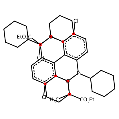 CCOC(=O)C(C)Oc1c(Cl)ccc(P(C2CCCCC2)C2CCCCC2)c1-c1c(P(C2CCCCC2)C2CCCCC2)ccc(Cl)c1OC(C)C(=O)OCC